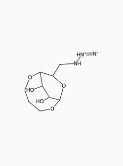 [N-]=[NH+]NCC1OC2OCCCOC1C(O)C2O